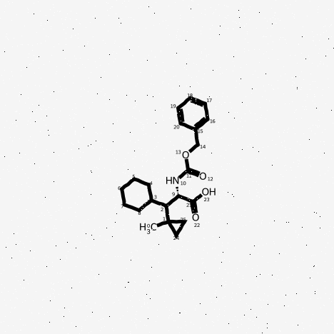 CC1(C(C2CCCCC2)[C@H](NC(=O)OCc2ccccc2)C(=O)O)CC1